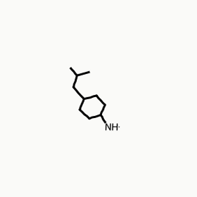 CC(C)CC1CCC([NH])CC1